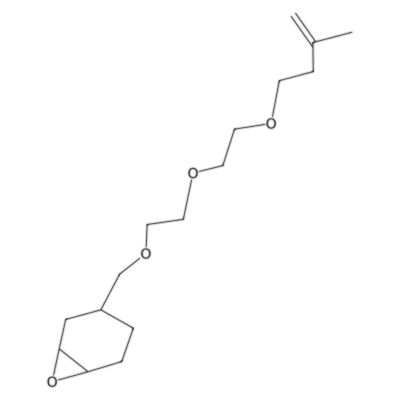 C=C(C)CCOCCOCCOCC1CCC2OC2C1